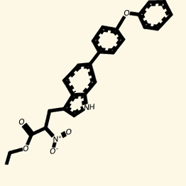 CCOC(=O)C(Cc1c[nH]c2cc(-c3ccc(Oc4ccccc4)cc3)ccc12)[N+](=O)[O-]